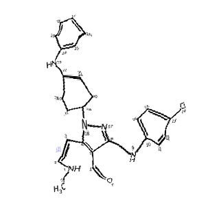 CN/C=C\c1c(C=O)c(Nc2ccc(Cl)cc2)nn1C1CCC(Nc2ccccc2)CC1